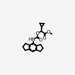 COC(=O)C(OC(=O)Nc1c2c(cc3c1CCC3)CCC2)C1CC1